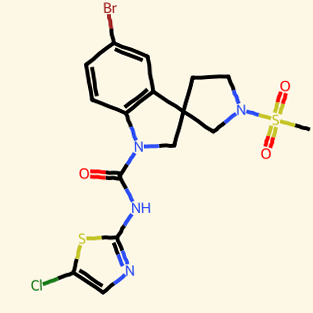 CS(=O)(=O)N1CCC2(CN(C(=O)Nc3ncc(Cl)s3)c3ccc(Br)cc32)C1